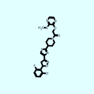 CSc1nccnc1OCC(=O)N1CCC(c2nc(C3=NOC(c4c(F)cccc4Cl)C3)cs2)CC1